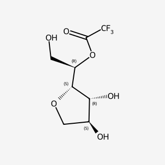 O=C(O[C@H](CO)[C@H]1OC[C@H](O)[C@H]1O)C(F)(F)F